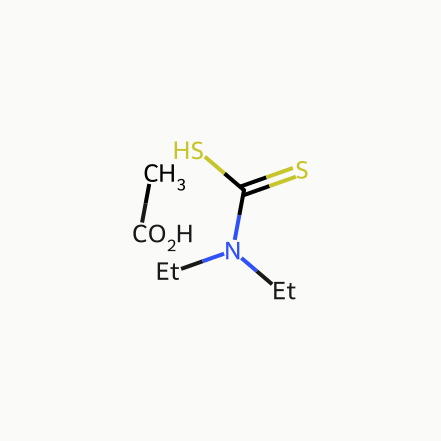 CC(=O)O.CCN(CC)C(=S)S